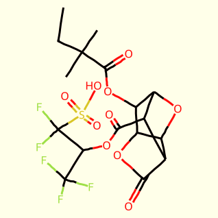 CCC(C)(C)C(=O)OC1C2OC(=O)C3C2OC1C3C(=O)OC(C(F)(F)F)C(F)(F)S(=O)(=O)O